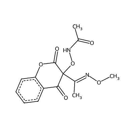 CO/N=C(\C)C1(ONC(C)=O)C(=O)Oc2ccccc2C1=O